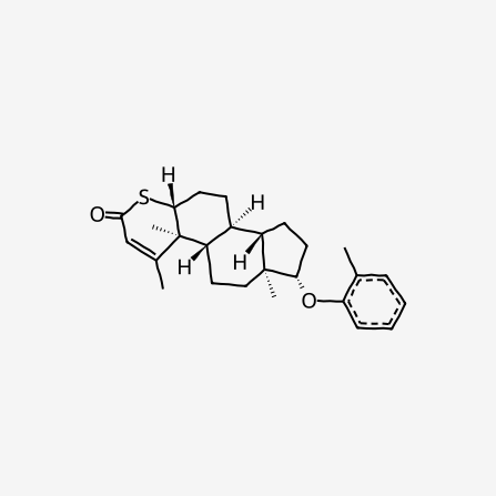 CC1=CC(=O)S[C@@H]2CC[C@H]3[C@@H]4CC[C@H](Oc5ccccc5C)[C@@]4(C)CC[C@@H]3[C@@]12C